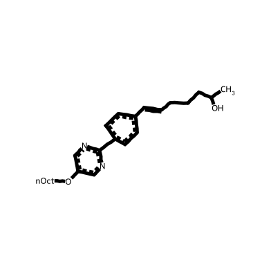 CCCCCCCCOc1cnc(-c2ccc(/C=C/CCCC(C)O)cc2)nc1